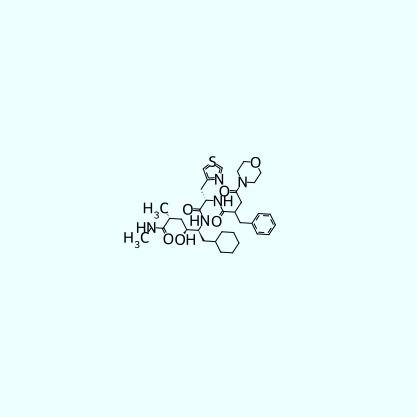 CNC(=O)[C@H](C)C[C@H](O)[C@H](CC1CCCCC1)NC(=O)[C@H](Cc1cscn1)NC(=O)C(CC(=O)N1CCOCC1)Cc1ccccc1